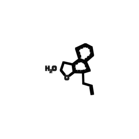 C=CCc1cc2ccccc2c2c1OCC2.O